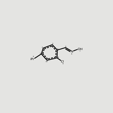 CC(C)c1ccc(C=NO)c(Cl)c1